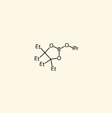 CCC1(CC)OB(OC(C)C)OC1(CC)CC